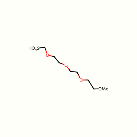 COCCOCCOCCOCS(=O)(=O)O